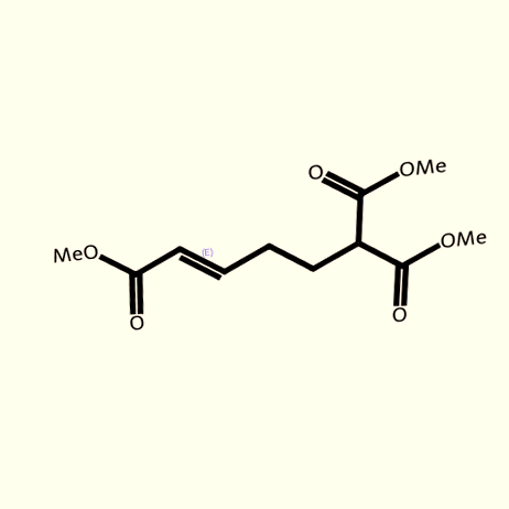 COC(=O)/C=C/CCC(C(=O)OC)C(=O)OC